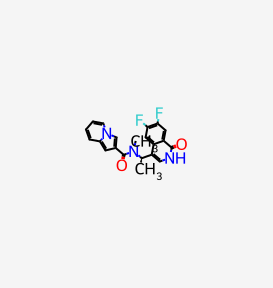 C[C@H](c1c[nH]c(=O)c2cc(F)c(F)cc12)N(C)C(=O)c1cc2ccccn2c1